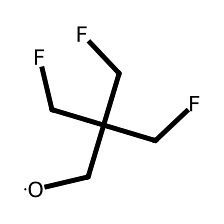 [O]CC(CF)(CF)CF